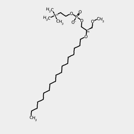 CCCCCCCCCCCCCCCCCCO[C@H](COC)COP(=O)([O-])OCC[N+](C)(C)C